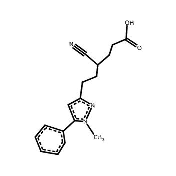 Cn1nc(CCC(C#N)CCC(=O)O)cc1-c1ccccc1